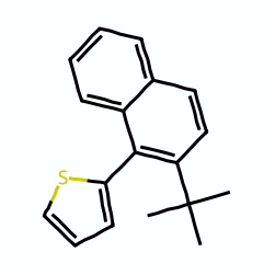 CC(C)(C)c1ccc2ccccc2c1-c1cccs1